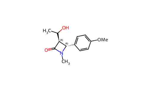 COc1ccc([C@H]2[C@H](C(C)O)C(=O)N2C)cc1